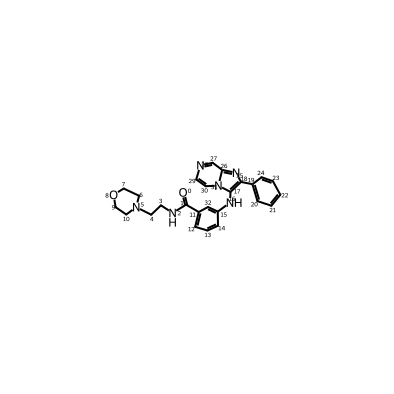 O=C(NCCN1CCOCC1)c1cccc(Nc2c(-c3ccccc3)nc3cnccn23)c1